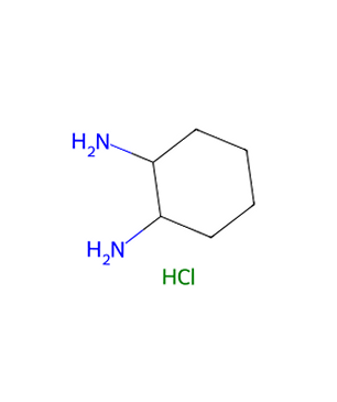 Cl.NC1CCCCC1N